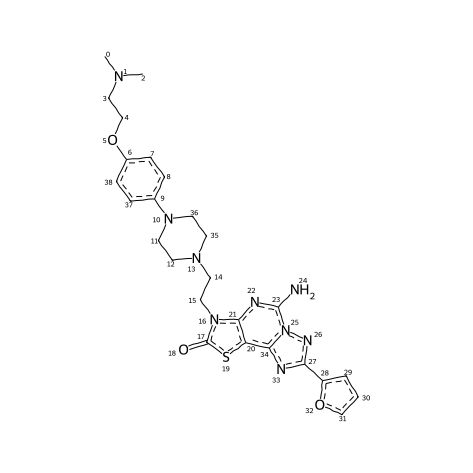 CN(C)CCOc1ccc(N2CCN(CCn3c(=O)sc4c3nc(N)n3nc(-c5ccco5)nc43)CC2)cc1